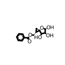 O=C(OC[C@@H]1C[C@]12O[C@H](O)C(O)C2O)c1ccccc1